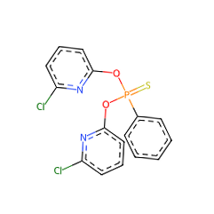 S=P(Oc1cccc(Cl)n1)(Oc1cccc(Cl)n1)c1ccccc1